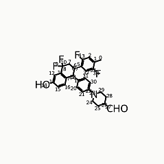 Cc1cc(F)c([C@@H]2CC(F)(F)c3cc(O)ccc3[C@@H]2c2ccc(N3CCC(C=O)CC3)cc2)cc1F